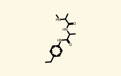 CCc1ccc(NC(=O)C(C)NC(=O)C(C)NC)cc1